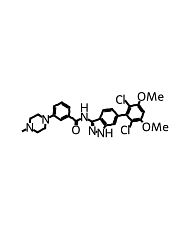 COc1cc(OC)c(Cl)c(-c2ccc3c(NC(=O)c4cccc(N5CCN(C)CC5)c4)n[nH]c3c2)c1Cl